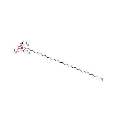 CO[Si](CCCCCCCCCCCCCCCCCCCCCCCCCCCCCCCCCCCCCI)(OC)OC